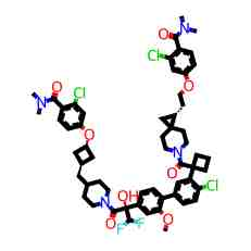 COc1cc([C@@](O)(C(=O)N2CCC(C[C@H]3C[C@@H](Oc4ccc(C(=O)N(C)C)c(Cl)c4)C3)CC2)C(F)F)ccc1-c1ccc(Cl)c(C2(C(=O)N3CCC4(CC3)C[C@@H]4CCOc3ccc(C(=O)N(C)C)c(Cl)c3)CCC2)c1